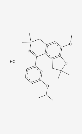 COc1cc2c(c3c1OC(C)(C)C3)C(c1cccc(OC(C)C)c1)=NC(C)(C)C2.Cl